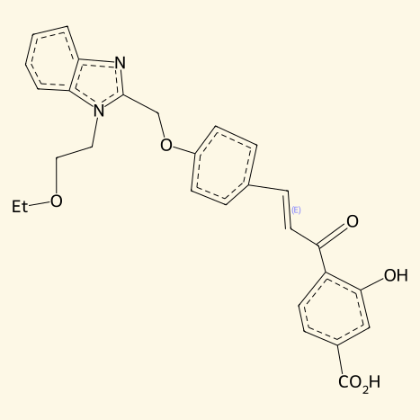 CCOCCn1c(COc2ccc(/C=C/C(=O)c3ccc(C(=O)O)cc3O)cc2)nc2ccccc21